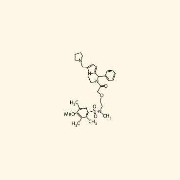 COc1c(C)cc(S(=O)(=O)N(C)CCOCC(=O)N2CCn3c(CN4CCCC4)ccc3C2c2ccccc2)c(C)c1C